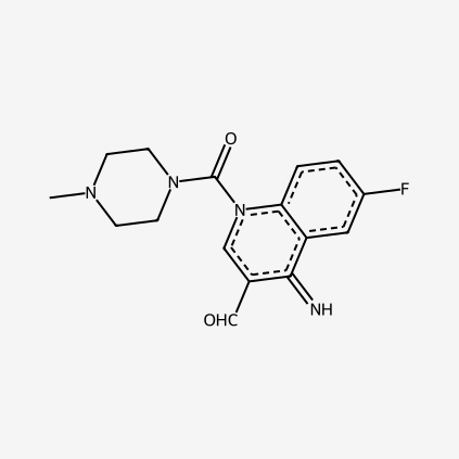 CN1CCN(C(=O)n2cc(C=O)c(=N)c3cc(F)ccc32)CC1